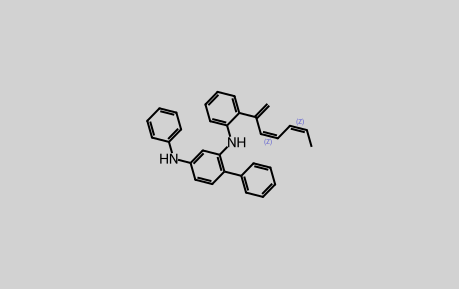 C=C(/C=C\C=C/C)c1ccccc1Nc1cc(Nc2ccccc2)ccc1-c1ccccc1